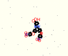 O=C(O)c1ccc2nc(-c3ccc(Oc4ccc([N+](=O)[O-])cc4)cc3)c(-c3ccc(Oc4ccc([N+](=O)[O-])cc4)cc3)nc2c1